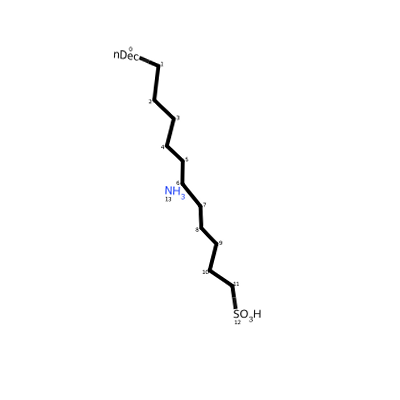 CCCCCCCCCCCCCCCCCCCCCS(=O)(=O)O.N